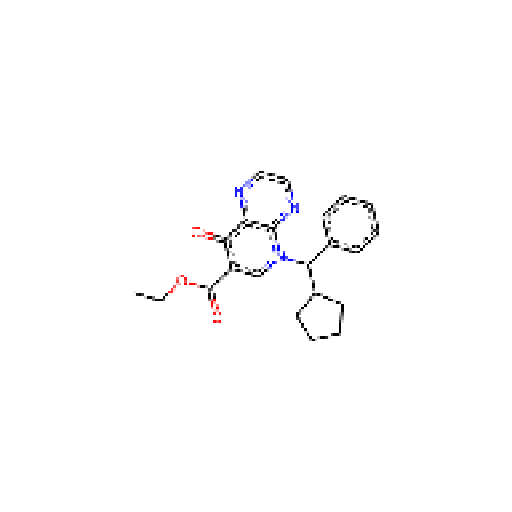 CCOC(=O)c1cn(C(c2ccccc2)C2CCCC2)c2nccnc2c1=O